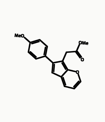 COC(=O)Cc1c(-c2ccc(OC)cc2)cc2cccoc1-2